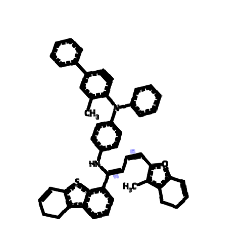 Cc1cc(-c2ccccc2)c#cc1N(c1ccccc1)c1ccc(N/C(=C\C=C/c2oc3c(c2C)CCC=C3)c2cccc3c4c(sc23)C=CCC4)cc1